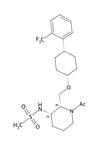 CC(=O)N1CCC[C@H](NS(C)(=O)=O)[C@@H]1CO[C@H]1CC[C@@H](c2ccccc2C(F)(F)F)CC1